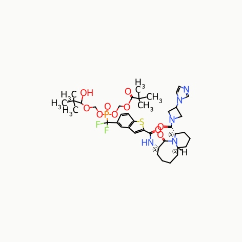 CC(C)(C)C(=O)OCOP(=O)(OCOC(O)C(C)(C)C)C(F)(F)c1ccc2sc(C(=O)N[C@H]3CCCC[C@H]4CCC[C@@H](C(=O)N5CC(n6ccnc6)C5)N4C3=O)cc2c1